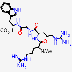 CN[C@@H](CCCNC(=N)N)C(=O)N[C@@H](CCCNC(N)N)C(=O)NCC(=O)N[C@@H](Cc1c[nH]c2ccccc12)C(=O)O